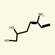 C=C/C(N)=C\CC(O)CO